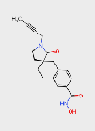 CC#CCN1CC[C@@]2(CCc3cc(C(=O)NO)ccc3C2)C1=O